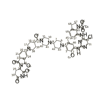 COc1cc(N2CCC(N3CCN(C(=O)C4CCN(c5ccc6c(c5)C(=O)N(C5CCC(=O)NC5=O)C6=O)CC4)CC3)CC2)c(C)cc1Nc1ncc(Cl)c(Nc2cccc3c2N(S(C)(=O)=O)CC3)n1